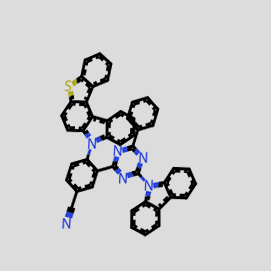 N#Cc1ccc(-n2c3ccccc3c3c4c(ccc32)sc2ccccc24)c(-c2nc(-c3ccccc3)nc(-n3c4ccccc4c4ccccc43)n2)c1